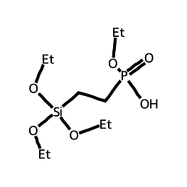 CCO[Si](CCP(=O)(O)OCC)(OCC)OCC